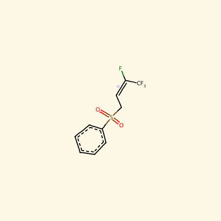 O=S(=O)(C/C=C(/F)C(F)(F)F)c1ccccc1